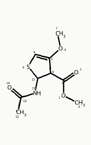 COC(=O)C1C(OC)=CSC1NC(C)=O